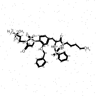 CCCCCNC(=O)C(Cc1ccc(N2CC(=O)N(CC[Si](C)(C)C)S2(=O)=O)c(OCc2ccccc2)c1)NS(=O)(=O)c1ccccc1